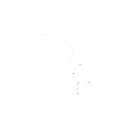 COc1ccc(C(O)CN2CCNC2=S)cc1